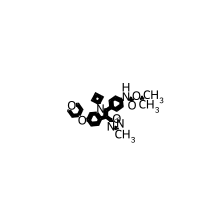 Cc1noc(-c2c(-c3ccc(NC(=O)OC(C)C)cc3)n(C3CCC3)c3cc(OC4CCOCC4)ccc23)n1